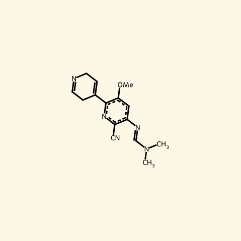 COc1cc(/N=C/N(C)C)c(C#N)nc1C1=CCN=CC1